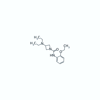 CCOc1ccccc1NC(=O)N1CC(N(CC)CC)C1